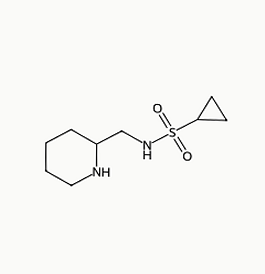 O=S(=O)(NCC1CCCCN1)C1CC1